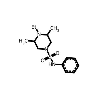 CCN1C(C)CN(S(=O)(=O)Nc2ccccc2)CC1C